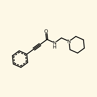 O=C(C#Cc1ccccc1)NCN1CCCCC1